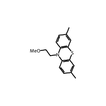 COCCN1c2ccc(C)cc2Sc2cc(C)ccc21